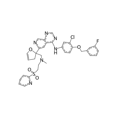 CN(CCS(=O)(=O)c1ccccn1)CC1(c2cc3c(Nc4ccc(OCc5cccc(F)c5)c(Cl)c4)ncnc3cn2)CC=CO1